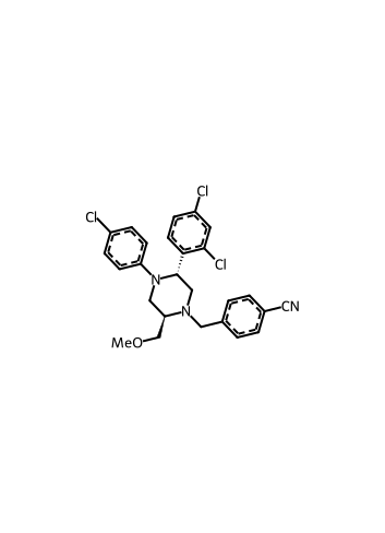 COC[C@H]1CN(c2ccc(Cl)cc2)[C@H](c2ccc(Cl)cc2Cl)CN1Cc1ccc(C#N)cc1